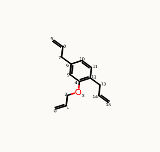 C=CCOc1cc(CC=C)ccc1CC=C